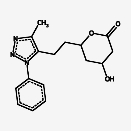 Cc1nnn(-c2ccccc2)c1CCC1CC(O)CC(=O)O1